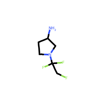 NC1CCN(C(F)(F)CF)C1